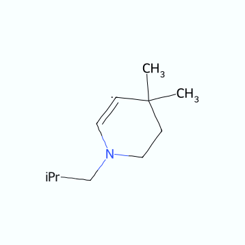 CC(C)CN1C=[C]C(C)(C)CC1